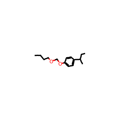 CCCCOCOc1ccc(C(C)CC)cc1